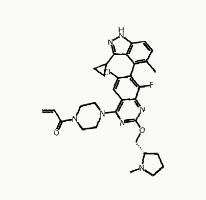 C=CC(=O)N1CCN(c2nc(OC[C@@H]3CCCN3C)nc3c(F)c(-c4c(C)ccc5[nH]nc(C6CC6)c45)c(Cl)cc23)CC1